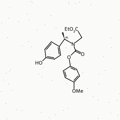 CCOC(=O)CN(C(=O)Oc1ccc(OC)cc1)[C@H](C)c1ccc(O)cc1